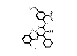 COc1ccc(NC(=O)N(S)C(C(=O)Nc2c(C)cccc2C)C2CCCCC2)c([N+](=O)[O-])c1